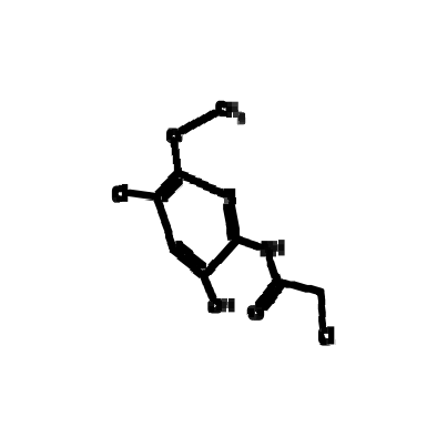 COc1nc(NC(=O)CCl)c(O)cc1Cl